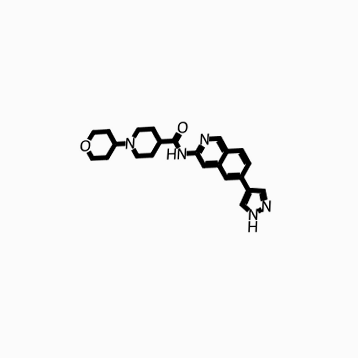 O=C(Nc1cc2cc(-c3cn[nH]c3)ccc2cn1)C1CCN(C2CCOCC2)CC1